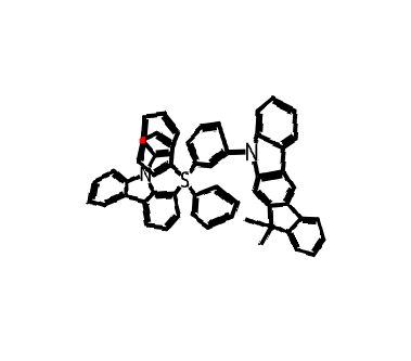 CC1(C)c2ccccc2-c2cc3c4ccccc4n(-c4cccc(S(c5ccccc5)(c5ccccc5)c5cccc6c7ccccc7n(-c7ccccc7)c56)c4)c3cc21